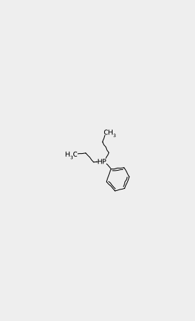 CCC[PH](CCC)c1ccccc1